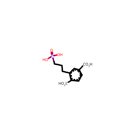 O=C(O)c1ccc(C(=O)O)c(CCCP(=O)(O)O)c1